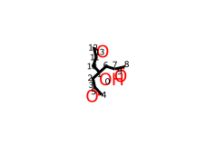 OC(CC1CO1)(CC1CO1)CC1CO1